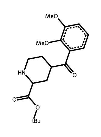 COc1cccc(C(=O)C2CCNC(C(=O)OC(C)(C)C)C2)c1OC